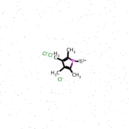 Cc1c(C)c(C)[p]([Ti+3])c1C.[Cl-].[Cl-].[Cl-]